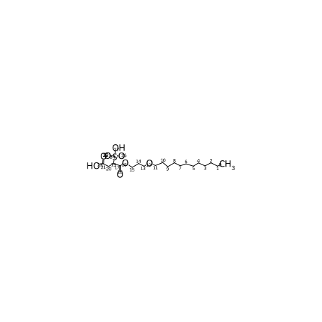 CCCCCCCCCCCCOCCCOC(=O)C(CC(=O)O)S(=O)(=O)O